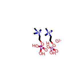 C[N+](C)(C)CCOP(=O)(O)O.C[N+](C)(C)CCOP(=O)(O)O.[O-2]